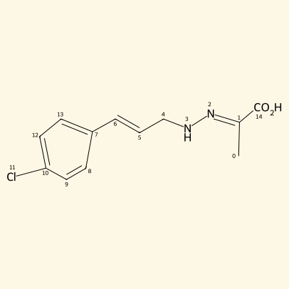 CC(=NNCC=Cc1ccc(Cl)cc1)C(=O)O